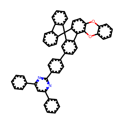 c1ccc(-c2cc(-c3ccccc3)nc(-c3ccc(-c4ccc5c(c4)C4(c6ccccc6-c6ccccc64)c4ccc6c(c4-5)Oc4ccccc4O6)cc3)n2)cc1